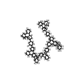 Cc1cc(-c2ccc3c4ccccc4c4cccnc4c3n2)ccc1-c1ccc2c(c1)c1ccccc1c1cc3c4ccccc4n(-c4ccc5c(c4)c4ccccc4n5-c4ccc(-c5ccc6c7cc(-c8ccc(-c9ccc%10c(n9)C9N=CC=CC9c9ccccc9-%10)cc8)ccc7c7cc8oc9ccccc9c8cc7c6c5)cc4)c3cc21